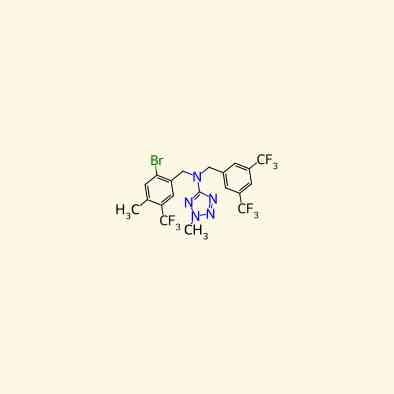 Cc1cc(Br)c(CN(Cc2cc(C(F)(F)F)cc(C(F)(F)F)c2)c2nnn(C)n2)cc1C(F)(F)F